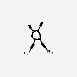 C#Cc1cc(C#CP)c(C#CP)cc1C#C